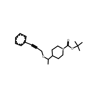 CC(OCC#Cc1ccccc1)C1CCN(C(=O)OC(C)(C)C)CC1